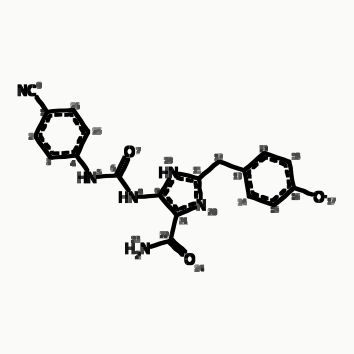 N#Cc1ccc(NC(=O)Nc2[nH]c(Cc3ccc([O])cc3)nc2C(N)=O)cc1